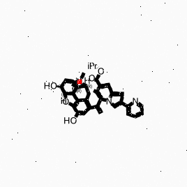 C=C(c1cc(O)c2c3c1C[C@@H]1[C@@H]4C=C[C@H](O)[C@H](O2)[C@]34CCN1C)c1c(C)c(C(=O)OC(C)C)cc2cc(-c3ccccn3)cn12